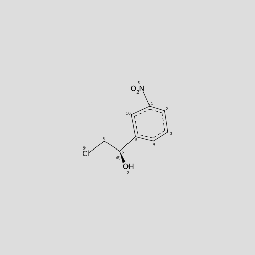 O=[N+]([O-])c1cccc([C@@H](O)CCl)c1